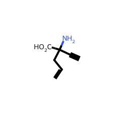 C#CC(N)(CC=C)C(=O)O